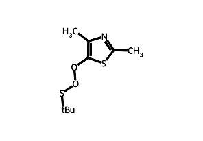 Cc1nc(C)c(OOSC(C)(C)C)s1